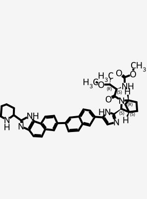 COC(=O)N[C@H](C(=O)N1[C@@H]2CC[C@@H](C2)[C@H]1c1ncc(-c2ccc3cc(-c4ccc5c(ccc6nc(C7CCCCN7)[nH]c65)c4)ccc3c2)[nH]1)[C@@H](C)OC